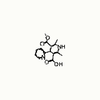 COC(=O)C1=C(C)NC(C)=C(C(=O)O)C1c1ccccn1